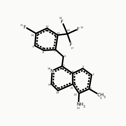 Cc1ccc2c(Cc3ccc(F)cc3C(F)(F)F)nccc2c1N